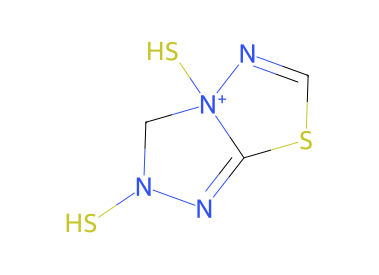 SN1C[N+]2(S)N=CSC2=N1